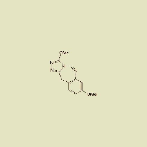 COc1ccc2c(c1)C=Cn1c(nnc1OC)C2